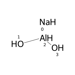 [NaH].[OH][AlH][OH]